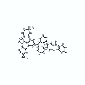 Nc1ccc(-c2ccc(-c3ccc(N)cc3)n2-c2ccc(-n3c4ccccc4c4ccccc43)cc2)cc1.c1ccc(Nc2ccccc2)cc1